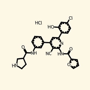 Cl.N#Cc1c(-c2cccc(NC(=O)C3CCNC3)c2)cc(-c2ccc(Cl)cc2O)nc1NC(=O)c1ccco1